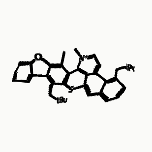 Cc1c2c(c(CC(C)(C)C)c3c1oc1ccccc13)Sc1cc3cccc(CC(C)C)c3c3cc[n+](C)c-2c13